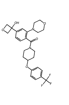 O=C(c1ccc(C2(O)COC2)cc1N1CCOCC1)N1CCC(Oc2ccc(C(F)(F)F)cc2)CC1